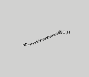 CCCCCCCCCCCCCCCCCCCCCCCCCCCCCCCCCCOS(=O)(=O)O